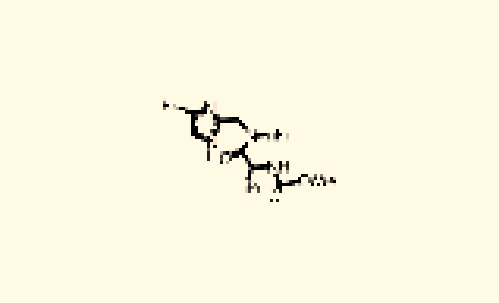 CCCN(Cc1nc(Br)c[nH]1)C(=O)C(NC(=O)OC)C(C)C